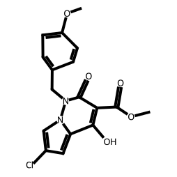 COC(=O)c1c(O)c2cc(Cl)cn2n(Cc2ccc(OC)cc2)c1=O